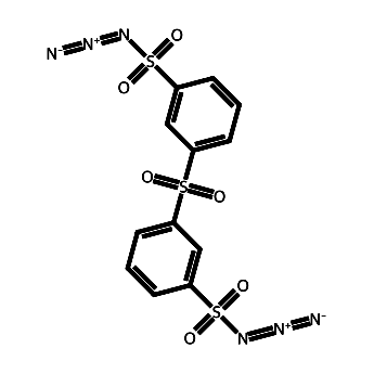 [N-]=[N+]=NS(=O)(=O)c1cccc(S(=O)(=O)c2cccc(S(=O)(=O)N=[N+]=[N-])c2)c1